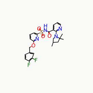 CC1CN(c2ncccc2C(=O)NS(=O)(=O)c2cccc(OCc3ccc(F)c(F)c3)n2)C(C)(C)C1